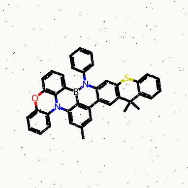 Cc1cc2c3c(c1)N1c4ccccc4Oc4cccc(c41)B3N(c1ccccc1)c1cc3c(cc1-2)C(C)(C)c1ccccc1S3